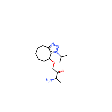 CC(N)C(=O)COC1CCCCCc2nnn(C(C)C)c21